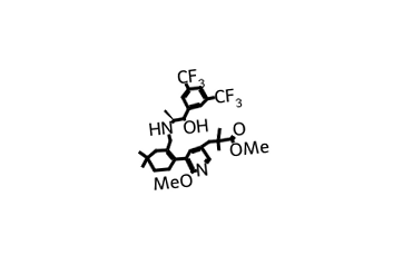 COC(=O)C(C)(C)Cc1cnc(OC)c(C2=C(CN[C@@H](C)[C@H](O)c3cc(C(F)(F)F)cc(C(F)(F)F)c3)CC(C)(C)CC2)c1